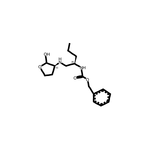 CCC[C@H](CN[C@H]1CCOC1O)NC(=O)OCc1ccccc1